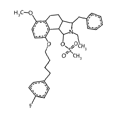 CCN1C(Cc2ccccc2)C2CCc3c(OC)ccc(OCCCCc4ccc(F)cc4)c3C2C1OS(C)(=O)=O